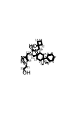 CN(C)C1(c2ccccc2)CCC2(CC1)CN(Cc1cn(CCO)nn1)C(=O)N2CC1(O)CCC1